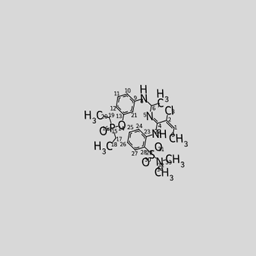 C/C=C(Cl)\C(=N/C(C)Nc1cccc(OP(=O)(CC)CC)c1)Nc1ccccc1S(=O)(=O)N(C)C